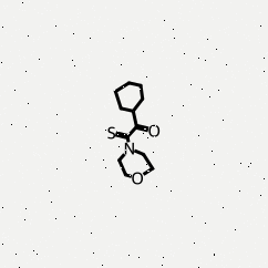 O=C(C(=S)N1CCOCC1)C1CCCCC1